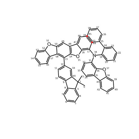 CC1(C)c2ccccc2-c2ccc(-c3c4oc5c(N(c6ccccc6-c6ccccc6)c6cccc7c6oc6ccccc67)cccc5c4cc4oc5ccccc5c34)cc21